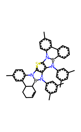 Cc1cc(C)cc(N2B3c4ccccc4-c4cc(C)ccc4N3c3sc4c(c32)N(c2cc(C)cc(C)c2)B2C3C=CCCC3c3cc(C)ccc3N24)c1